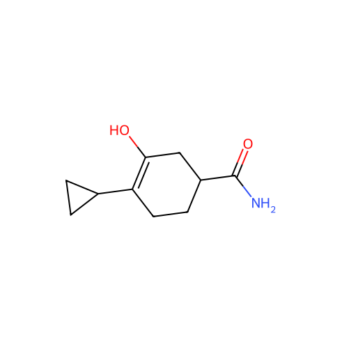 NC(=O)C1CCC(C2CC2)=C(O)C1